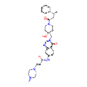 C[C@@H](CC(=O)N1CCC(O)(Cn2cnc3cc(NC(=O)C=CN4CCN(C)CC4)ccc3c2=O)CC1)c1ccccc1